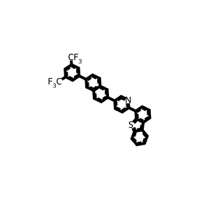 FC(F)(F)c1cc(-c2ccc3cc(-c4ccc(-c5cccc6c5sc5ccccc56)nc4)ccc3c2)cc(C(F)(F)F)c1